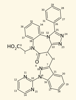 O=C(O)CN1C(=O)C(Cc2nn(-c3ncccn3)c3ccccc23)c2nnc(-c3ccccc3)n2-c2ccccc21